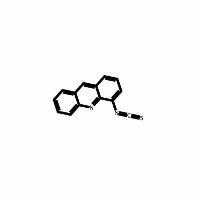 S=C=Nc1cccc2cc3ccccc3nc12